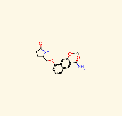 CC(C)Oc1cc2c(OCC3CCC(=O)N3)cccc2cc1C(N)=O